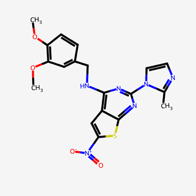 COc1ccc(CNc2nc(-n3ccnc3C)nc3sc([N+](=O)[O-])cc23)cc1OC